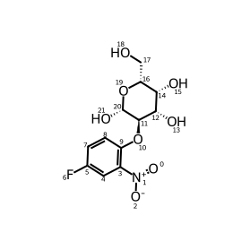 O=[N+]([O-])c1cc(F)ccc1O[C@@H]1[C@@H](O)[C@@H](O)[C@@H](CO)O[C@H]1O